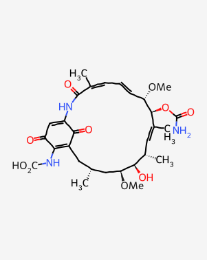 CO[C@H]1/C=C/C=C(/C)C(=O)NC2=CC(=O)C(NC(=O)O)=C(C[C@@H](C)C[C@H](OC)[C@H](O)[C@@H](C)/C=C(\C)[C@@H]1OC(N)=O)C2=O